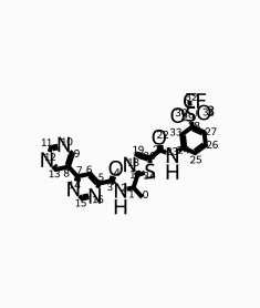 CC(NC(=O)c1cc(-c2cncnc2)ncn1)c1ncc(C(=O)Nc2cccc(S(=O)(=O)C(F)(F)F)c2)s1